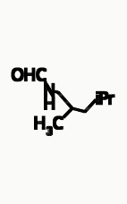 CC(C)CC(C)CNC=O